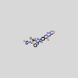 CC(COc1cccc2cc(-c3nc4cc5c(cc4n3C)CCN(CC3COCCN3)C5=O)n(CC3CC3)c12)n1cnc(F)c1